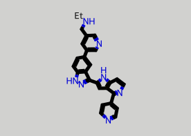 CCNCc1cncc(-c2ccc3[nH]nc(-c4cc5c(-c6ccncc6)nccc5[nH]4)c3c2)c1